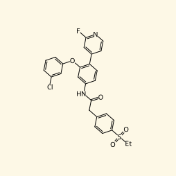 CCS(=O)(=O)c1ccc(CC(=O)Nc2ccc(-c3ccnc(F)c3)c(Oc3cccc(Cl)c3)c2)cc1